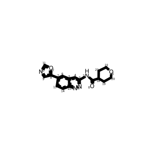 O=C(Nc1cc2cc(-c3cnco3)ccc2nn1)C1CCOCC1